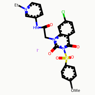 CC[n+]1cccc(NC(=O)Cn2c(=O)n(S(=O)(=O)c3ccc(OC)cc3)c(=O)c3ccc(Cl)cc32)c1.[I-]